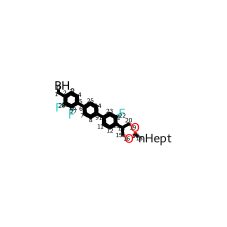 BCc1ccc(-c2ccc(-c3ccc(C4COC(CCCCCCC)OC4)c(F)c3)cc2)c(F)c1F